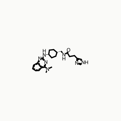 CN(C)c1nc(N[C@H]2CC[C@@H](CNC(=O)CCc3c[nH]cn3)CC2)nc2ccccc12